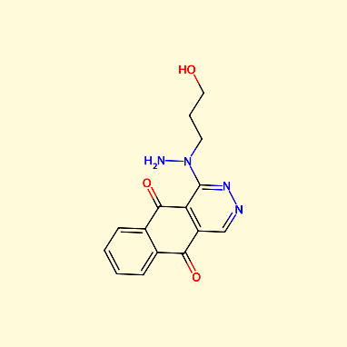 NN(CCCO)c1nncc2c1C(=O)c1ccccc1C2=O